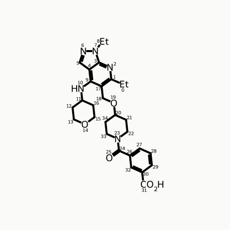 CCc1nc2c(cnn2CC)c(NC2CCOCC2)c1COC1CCN(C(=O)c2cccc(C(=O)O)c2)CC1